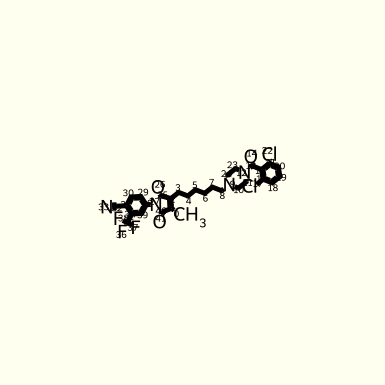 CC1=C(CCCCCCN2CCN(C(=O)c3c(Cl)cccc3Cl)CC2)C(=O)N(c2ccc(C#N)c(C(F)(F)F)c2)C1=O